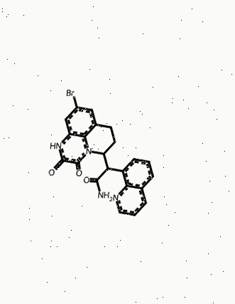 NC(=O)C(c1cccc2cccnc12)C1CCc2cc(Br)cc3[nH]c(=O)c(=O)n1c23